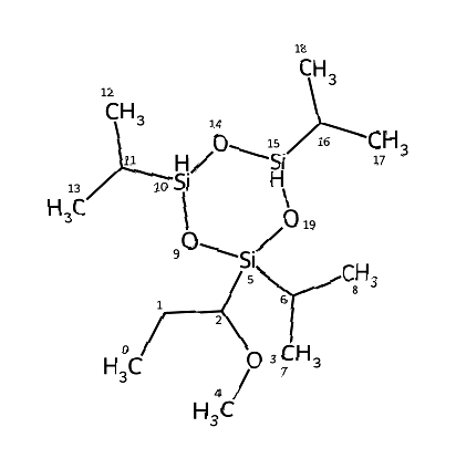 CCC(OC)[Si]1(C(C)C)O[SiH](C(C)C)O[SiH](C(C)C)O1